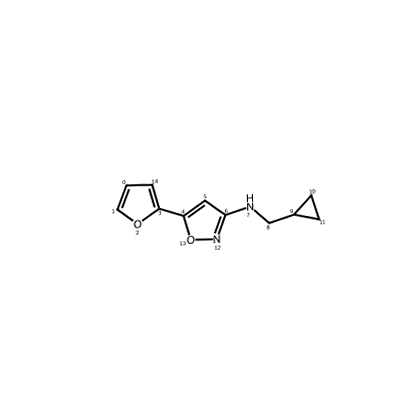 c1coc(-c2cc(NCC3CC3)no2)c1